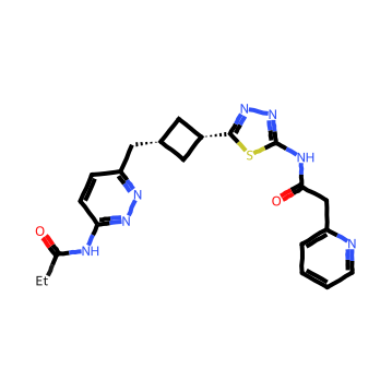 CCC(=O)Nc1ccc(C[C@H]2C[C@@H](c3nnc(NC(=O)Cc4ccccn4)s3)C2)nn1